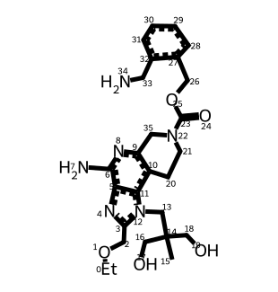 CCOCc1nc2c(N)nc3c(c2n1CC(C)(CO)CO)CCN(C(=O)OCc1ccccc1CN)C3